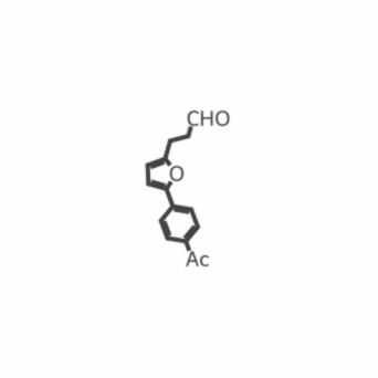 CC(=O)c1ccc(-c2ccc(CCC=O)o2)cc1